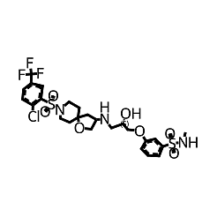 CNS(=O)(=O)c1cccc(OC[C@@H](O)CNC2COC3(CCN(S(=O)(=O)c4cc(C(F)(F)F)ccc4Cl)CC3)C2)c1